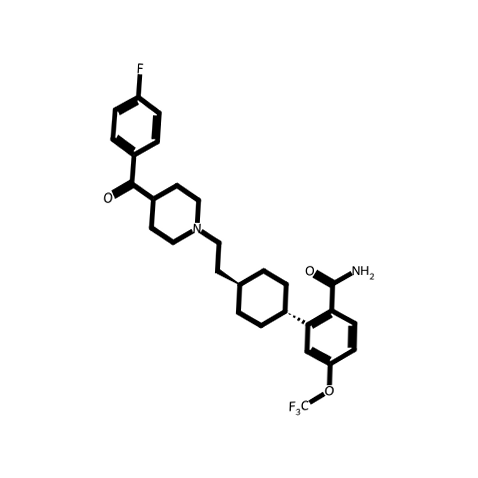 NC(=O)c1ccc(OC(F)(F)F)cc1[C@H]1CC[C@H](CCN2CCC(C(=O)c3ccc(F)cc3)CC2)CC1